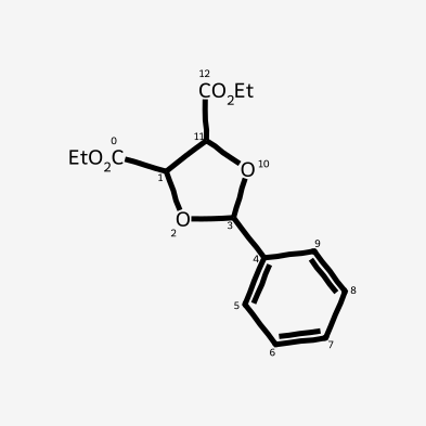 CCOC(=O)C1OC(c2ccccc2)OC1C(=O)OCC